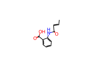 CC=CC(=O)Nc1ccccc1C(=O)O